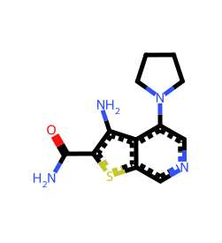 NC(=O)c1sc2cncc(N3CCCC3)c2c1N